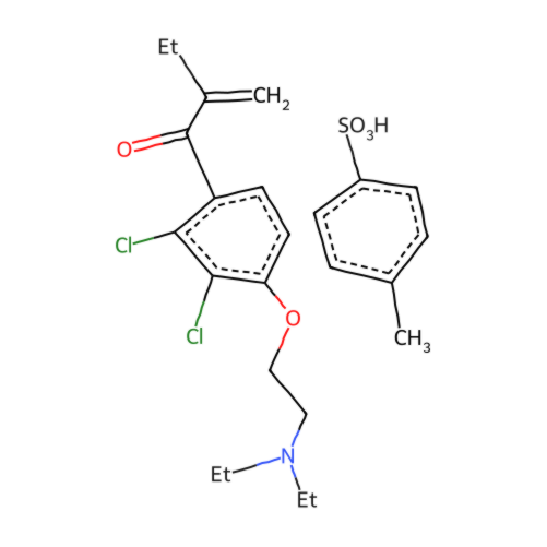 C=C(CC)C(=O)c1ccc(OCCN(CC)CC)c(Cl)c1Cl.Cc1ccc(S(=O)(=O)O)cc1